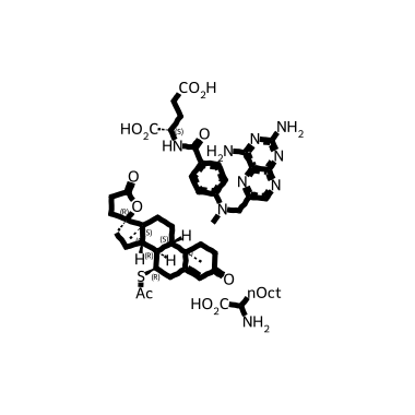 CC(=O)S[C@@H]1CC2=CC(=O)CC[C@]2(C)[C@H]2CC[C@@]3(C)[C@@H](CC[C@@]34CCC(=O)O4)[C@H]12.CCCCCCCCC(N)C(=O)O.CN(Cc1cnc2nc(N)nc(N)c2n1)c1ccc(C(=O)N[C@@H](CCC(=O)O)C(=O)O)cc1